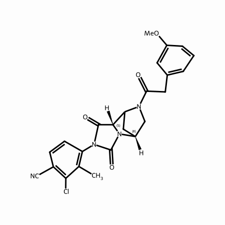 COc1cccc(CC(=O)N2C[C@H]3CC2[C@H]2C(=O)N(c4ccc(C#N)c(Cl)c4C)C(=O)N32)c1